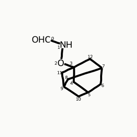 O=CNOC12CC3CC(CC(C3)C1)C2